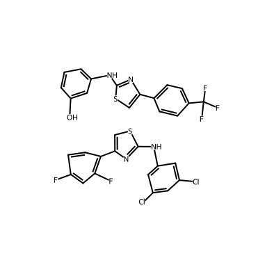 Fc1ccc(-c2csc(Nc3cc(Cl)cc(Cl)c3)n2)c(F)c1.Oc1cccc(Nc2nc(-c3ccc(C(F)(F)F)cc3)cs2)c1